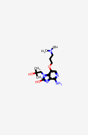 CN(CCCOc1cnc(N)c2nc(O)n(CC(C)(C)O)c12)C(C)(C)C